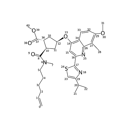 C=CCCCCN(C)C(=O)[C@@H]1C[C@H](Oc2cc(-c3nc(C(C)C)cs3)nc3c(C)c(OC)ccc23)C[C@H]1C(=O)OC